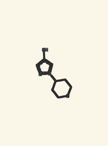 Oc1cnn(C2CCOCC2)c1